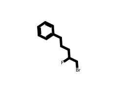 FC(CBr)CCCc1ccccc1